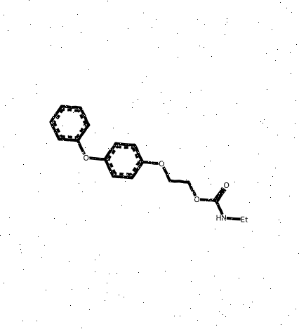 CCNC(=O)OCCOc1ccc(Oc2ccccc2)cc1